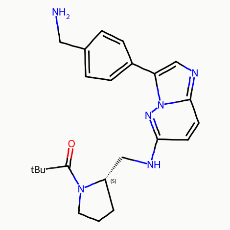 CC(C)(C)C(=O)N1CCC[C@H]1CNc1ccc2ncc(-c3ccc(CN)cc3)n2n1